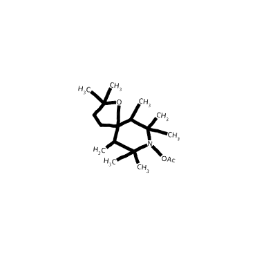 CC(=O)ON1C(C)(C)C(C)C2(CCC(C)(C)O2)C(C)C1(C)C